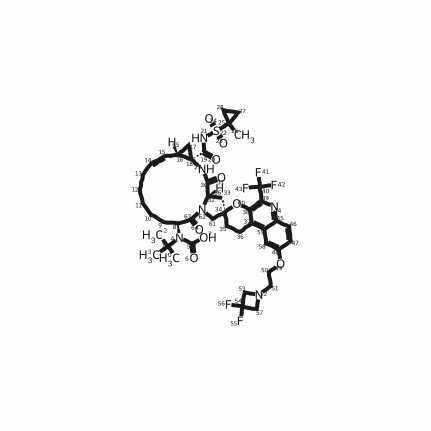 CC(C)(C)N(C(=O)O)[C@H]1CCCCC/C=C\[C@@H]2C[C@@]2(C(=O)NS(=O)(=O)C2(C)CC2)NC(=O)[C@@H]2C[C@]3(CCc4c(c(C(F)(F)F)nc5ccc(OCCN6CC(F)(F)C6)cc45)O3)CN2C1=O